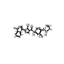 N#Cc1cc(NC(=O)c2cnn(-c3cnc(F)c4ccccc34)c2C(F)(F)F)cnc1N1N=CCN1